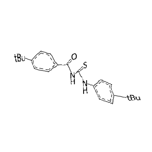 CC(C)(C)c1ccc(NC(=S)NC(=O)c2ccc(C(C)(C)C)cc2)cc1